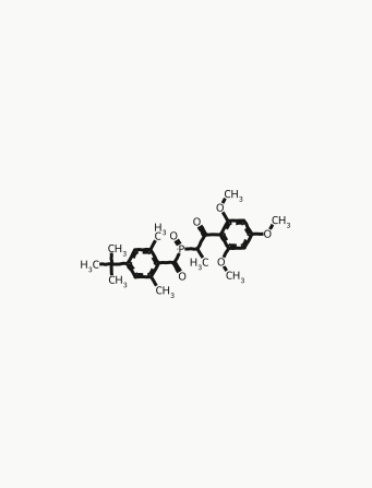 COc1cc(OC)c(C(=O)C(C)[P](=O)C(=O)c2c(C)cc(C(C)(C)C)cc2C)c(OC)c1